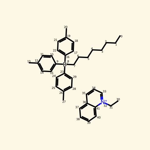 CCCCCCCC[B-](c1ccc(C)cc1)(c1ccc(C)cc1)c1ccc(C)cc1.CC[n+]1cccc2ccccc21